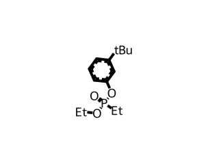 CCOP(=O)(CC)Oc1cccc(C(C)(C)C)c1